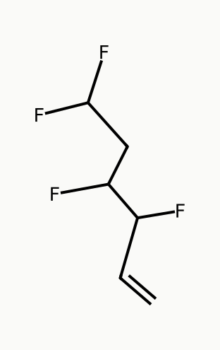 C=CC(F)C(F)CC(F)F